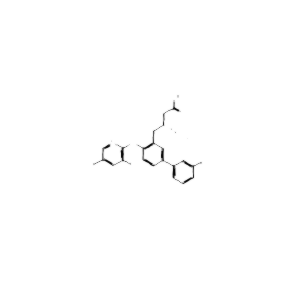 Cl.N[C@@H](CC(=O)O)Cc1cc(-c2cccc(F)c2)ccc1Oc1ncc(Cl)cc1F